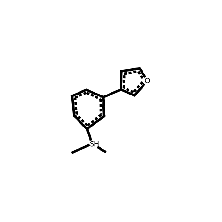 C[SH](C)c1cccc(-c2ccoc2)c1